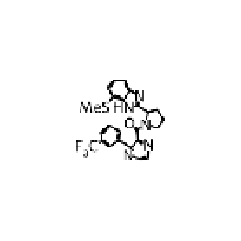 CSc1cccc2nc(C3CCCN3C(=O)c3nccnc3-c3cccc(C(F)(F)F)c3)[nH]c12